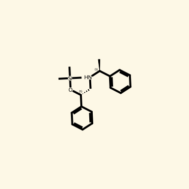 C[C@H](NC[C@@H](O[Si](C)(C)C)c1ccccc1)c1ccccc1